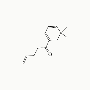 C=CCCC(=O)C1=CC=CC(C)(C)C1